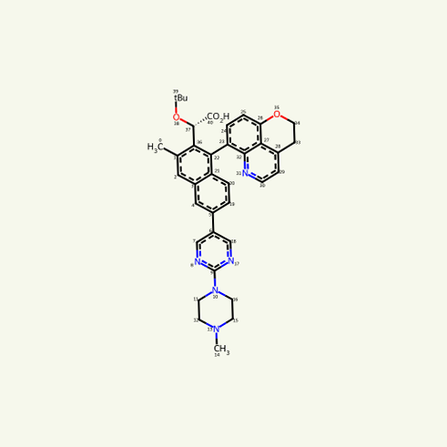 Cc1cc2cc(-c3cnc(N4CCN(C)CC4)nc3)ccc2c(-c2ccc3c4c(ccnc24)CCO3)c1[C@H](OC(C)(C)C)C(=O)O